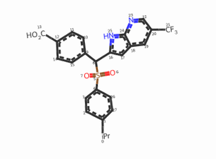 CC(C)c1ccc(S(=O)(=O)C(c2ccc(C(=O)O)cc2)c2cc3cc(C(F)(F)F)cnc3[nH]2)cc1